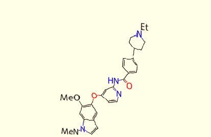 CCN1CCC(c2ccc(C(=O)Nc3cc(Oc4cc5ccn(NC)c5cc4OC)ccn3)cc2)CC1